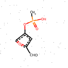 CP(=O)(O)Oc1coc(C=O)c1